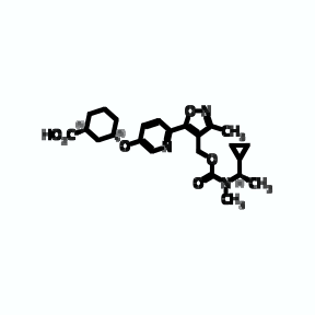 Cc1noc(-c2ccc(O[C@H]3CCC[C@H](C(=O)O)C3)cn2)c1COC(=O)N(C)[C@H](C)C1CC1